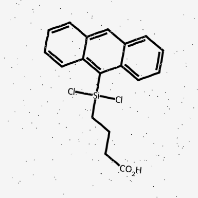 O=C(O)CCC[Si](Cl)(Cl)c1c2ccccc2cc2ccccc12